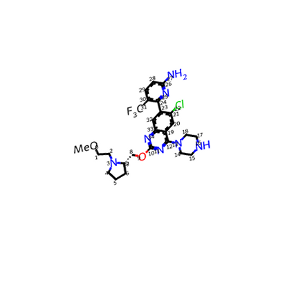 COCCN1CCC[C@H]1COc1nc(N2CCNCC2)c2cc(Cl)c(-c3nc(N)ccc3C(F)(F)F)cc2n1